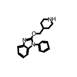 c1ccc(-n2c(OCC3CCNCC3)nc3ccccc32)cc1